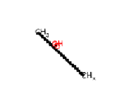 CCCCCCCCCCCCCCCCCCCCCCCCCCC(CCCCCCCCCCCCCC)C(=O)O